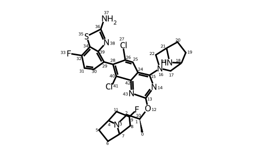 C[C@@H](CN1C2CCC1CC(F)C2)Oc1nc(N2CC3CCC(C2)N3)c2cc(Cl)c(-c3ccc(F)c4sc(N)nc34)c(Cl)c2n1